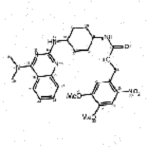 COc1cc(COC(=O)NC2CCC(Nc3nc(N(C)C)c4ccccc4n3)CC2)c([N+](=O)[O-])cc1OC